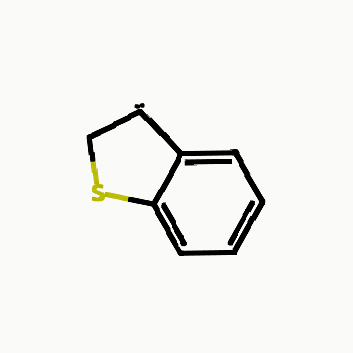 [C]1CSc2ccccc21